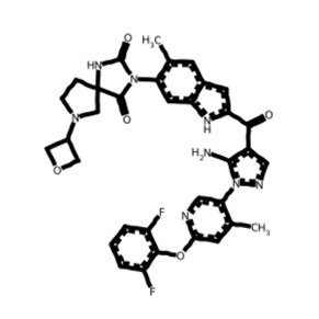 Cc1cc2cc(C(=O)c3cnn(-c4cnc(Oc5c(F)cccc5F)cc4C)c3N)[nH]c2cc1N1C(=O)NC2(CCN(C3COC3)C2)C1=O